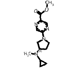 COC(=O)c1cnc(N2CC[C@@H](N(C)C3CC3)C2)cn1